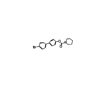 O=C(Oc1ccc(-c2ccc(Br)cc2)cc1)N1CCCCC1